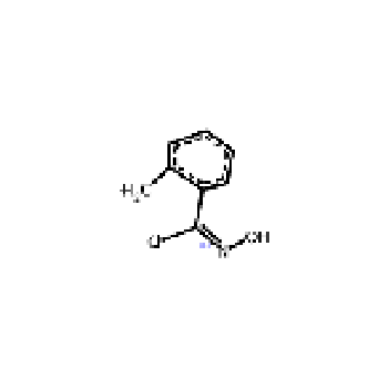 [CH2]c1ccccc1/C(Cl)=N\O